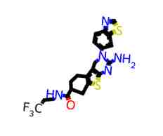 NC1=Nc2sc3c(c2CN1c1ccc2ncsc2c1)CCC(C(=O)NCCC(F)(F)F)C3